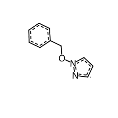 [c]1ccn(OCc2ccccc2)n1